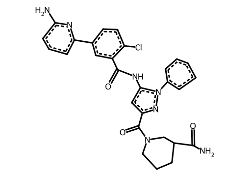 NC(=O)C1CCCN(C(=O)c2cc(NC(=O)c3cc(-c4cccc(N)n4)ccc3Cl)n(-c3ccccc3)n2)C1